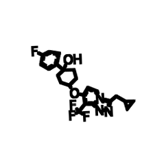 OC1(c2ccc(F)cc2)CCC(Oc2ccn3c(CC4CC4)nnc3c2C(F)(F)F)CC1